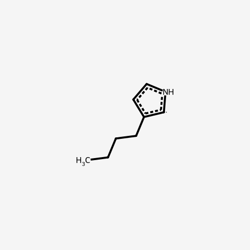 CCCCc1[c][nH]cc1